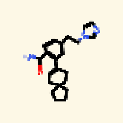 NC(=O)c1ccc(CCn2ccnc2)cc1C1=CCC2(CCCC2)CC1